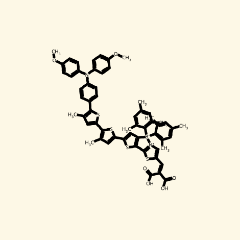 COc1ccc(N(c2ccc(OC)cc2)c2ccc(-c3sc(-c4sc(-c5cc6c(s5)-c5sc(C=C(C(=O)O)C(=O)O)c[n+]5[B-]6(c5c(C)cc(C)cc5C)c5c(C)cc(C)cc5C)cc4C)cc3C)cc2)cc1